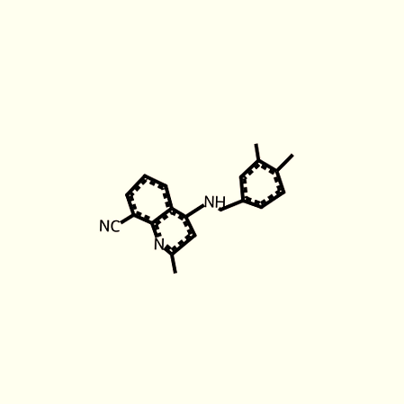 Cc1cc(NCc2ccc(C)c(C)c2)c2cccc(C#N)c2n1